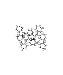 c1ccc(-n2c3ccccc3c3ccc4c5ccccc5n(-c5nnc(-n6c7ccccc7c7ccc8c9ccccc9n(-c9ccccc9)c8c76)nn5)c4c32)cc1